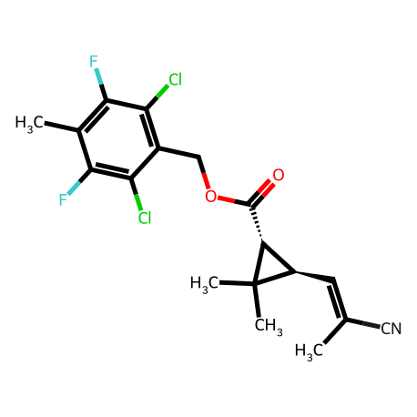 CC(C#N)=C[C@@H]1[C@@H](C(=O)OCc2c(Cl)c(F)c(C)c(F)c2Cl)C1(C)C